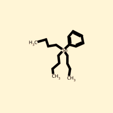 CCC[CH2][Sn]([CH2]CCC)([CH2]CCC)[c]1cc[c]cc1